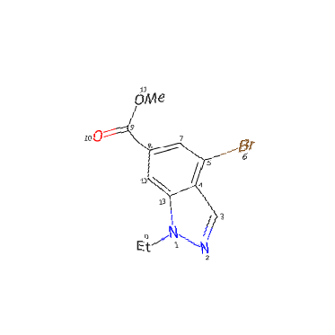 CCn1ncc2c(Br)cc(C(=O)OC)cc21